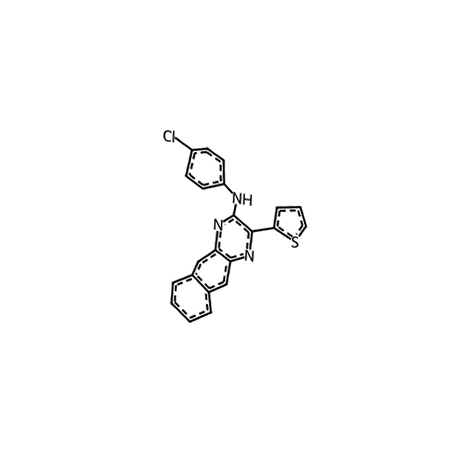 Clc1ccc(Nc2nc3cc4ccccc4cc3nc2-c2cccs2)cc1